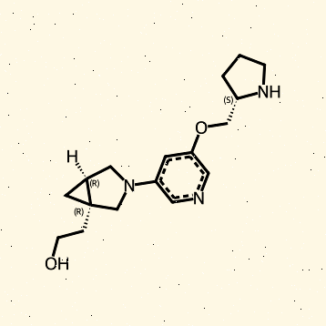 OCC[C@]12C[C@H]1CN(c1cncc(OC[C@@H]3CCCN3)c1)C2